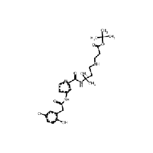 CC(C)(CCNCCC(=O)OC(C)(C)C)NC(=O)c1cc(NC(=O)Cc2cc(Cl)ccc2O)ccn1